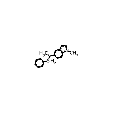 C[C@H]([SiH2]c1ccccc1)c1ccc2c(ccn2C)c1